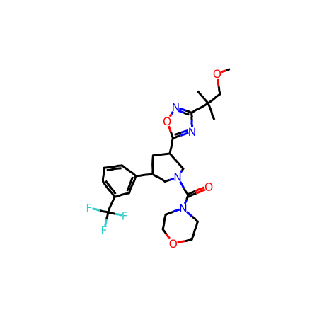 COCC(C)(C)c1noc(C2CC(c3cccc(C(F)(F)F)c3)CN(C(=O)N3CCOCC3)C2)n1